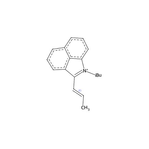 C/C=C/C1=[N+](C(C)CC)c2cccc3cccc1c23